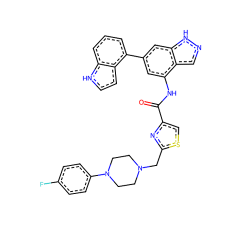 O=C(Nc1cc(-c2cccc3[nH]ccc23)cc2[nH]ncc12)c1csc(CN2CCN(c3ccc(F)cc3)CC2)n1